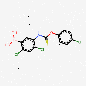 OB(O)c1cc(NC(=S)Oc2ccc(Cl)cc2)c(Cl)cc1Cl